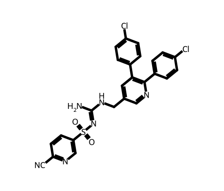 N#Cc1ccc(S(=O)(=O)/N=C(\N)NCc2cnc(-c3ccc(Cl)cc3)c(-c3ccc(Cl)cc3)c2)cn1